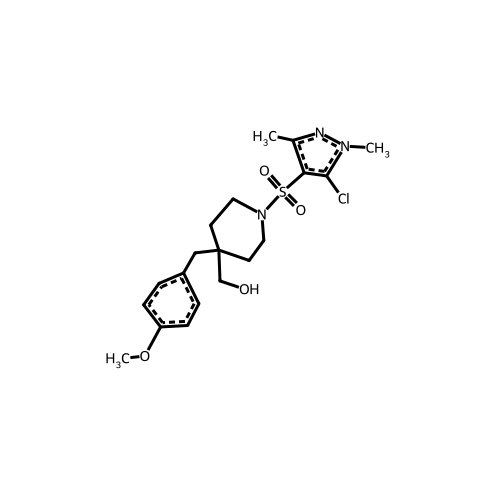 COc1ccc(CC2(CO)CCN(S(=O)(=O)c3c(C)nn(C)c3Cl)CC2)cc1